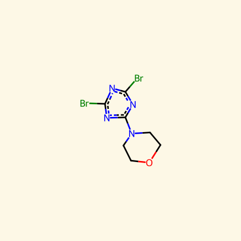 Brc1nc(Br)nc(N2CCOCC2)n1